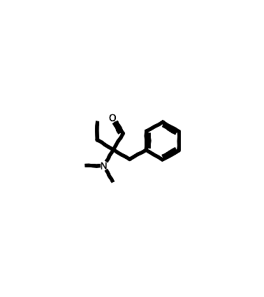 CCC(C=O)(Cc1ccccc1)N(C)C